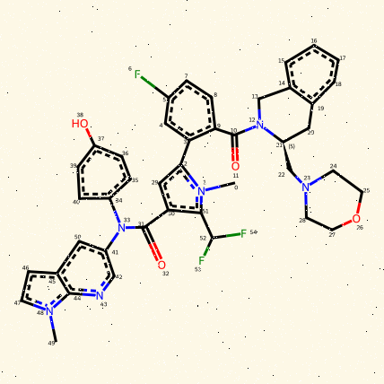 Cn1c(-c2cc(F)ccc2C(=O)N2Cc3ccccc3C[C@H]2CN2CCOCC2)cc(C(=O)N(c2ccc(O)cc2)c2cnc3c(ccn3C)c2)c1C(F)F